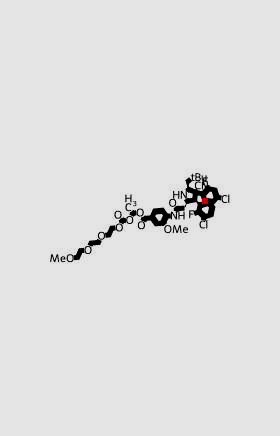 COCCOCCOCCOC(=O)OC(C)OC(=O)c1ccc(NC(=O)C[C@@H]2N[C@@H](CC(C)(C)C)[C@](C#N)(c3ccc(Cl)cc3F)[C@H]2c2cccc(Cl)c2F)c(OC)c1